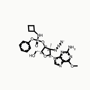 COc1nc(N)nc2c1ncn2[C@@H]1O[C@H](CO)[C@@H](OP(=O)(NC2CCC2)Oc2ccccc2)[C@@]1(C)N=[N+]=[N-]